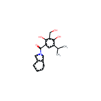 CC(C)c1cc(C(=O)n2cc3ccccc3c2)c(O)c(CO)c1O